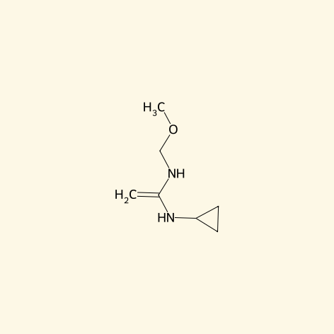 C=C(NCOC)NC1CC1